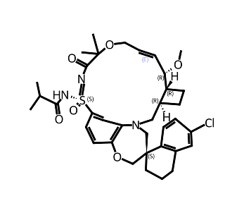 CO[C@H]1/C=C/COC(C)(C)C(=O)N=[S@@](=O)(NC(=O)C(C)C)c2ccc3c(c2)N(C[C@@H]2CC[C@H]21)C[C@@]1(CCCc2cc(Cl)ccc21)CO3